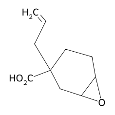 C=CCC1(C(=O)O)CCC2OC2C1